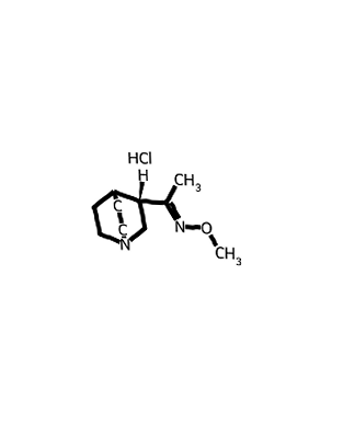 CON=C(C)[C@@H]1CN2CCC1CC2.Cl